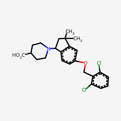 CC1(C)CC(N2CCC(C(=O)O)CC2)c2ccc(OCc3c(Cl)cccc3Cl)cc21